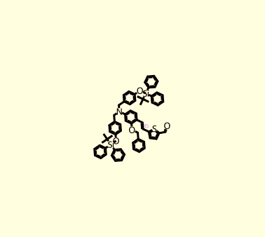 CC(C)(C)[Si](Oc1ccc(CN(Cc2ccc(O[Si](c3ccccc3)(c3ccccc3)C(C)(C)C)cc2)c2ccc(/C=C/c3ccc(C=O)s3)c(OCc3ccccc3)c2)cc1)(c1ccccc1)c1ccccc1